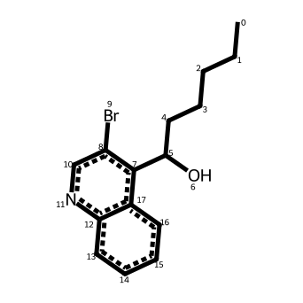 CCCCCC(O)c1c(Br)cnc2ccccc12